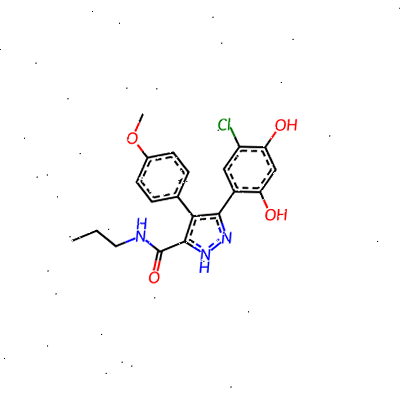 CCCNC(=O)c1[nH]nc(-c2cc(Cl)c(O)cc2O)c1-c1ccc(OC)cc1